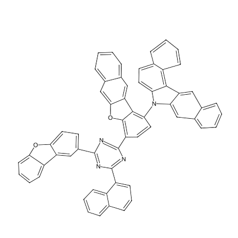 c1ccc2cc3c(cc2c1)oc1c(-c2nc(-c4ccc5oc6ccccc6c5c4)nc(-c4cccc5ccccc45)n2)ccc(-n2c4cc5ccccc5cc4c4c5ccccc5ccc42)c13